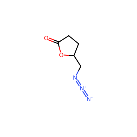 [N-]=[N+]=NCC1CCC(=O)O1